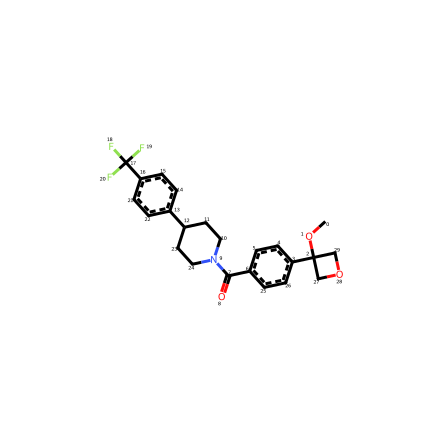 COC1(c2ccc(C(=O)N3CCC(c4ccc(C(F)(F)F)cc4)CC3)cc2)COC1